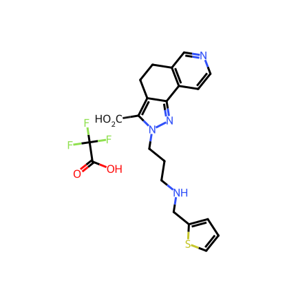 O=C(O)C(F)(F)F.O=C(O)c1c2c(nn1CCCNCc1cccs1)-c1ccncc1CC2